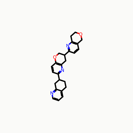 c1cnc2c(c1)CCC(c1ccc3c(n1)CC(c1ccc4c(n1)CCOC4)CO3)C2